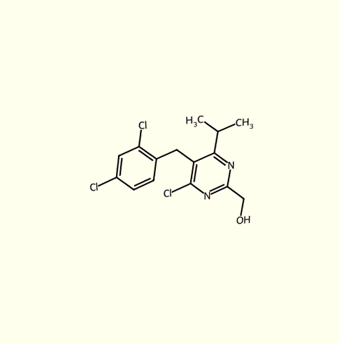 CC(C)c1nc(CO)nc(Cl)c1Cc1ccc(Cl)cc1Cl